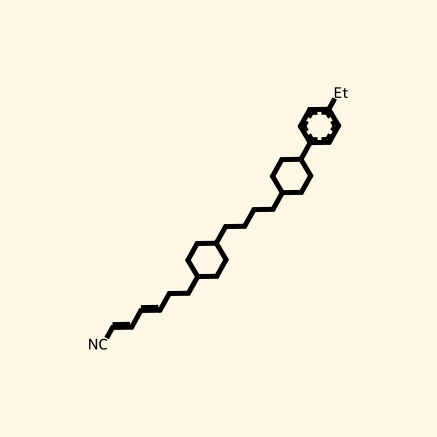 CCc1ccc(C2CCC(CCCCC3CCC(CCC=CC=CC#N)CC3)CC2)cc1